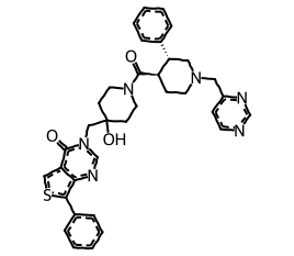 O=C([C@@H]1CCN(Cc2ccncn2)C[C@H]1c1ccccc1)N1CCC(O)(Cn2cnc3c(-c4ccccc4)scc3c2=O)CC1